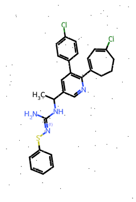 CC(N/C(N)=N/Sc1ccccc1)c1cnc(C2=CC=C(Cl)CCC2)c(-c2ccc(Cl)cc2)c1